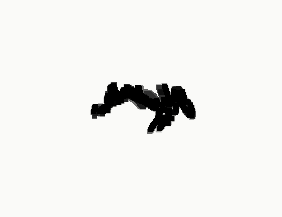 COCc1nocc1C(=O)N[C@H](c1cn2ncc(C(NC(=O)CCC(F)(F)F)C3CC3)cc2n1)C1CCC(F)(F)CC1